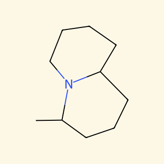 CC1CCCC2CCCCN12